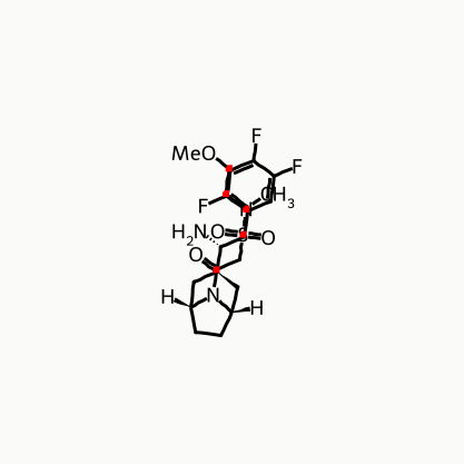 COCCN(C)S(=O)(=O)CC(=O)N1[C@@H]2CC[C@H]1C[C@H]([C@H](N)Cc1cc(F)c(F)cc1F)C2